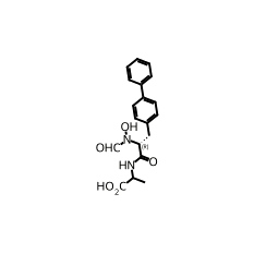 CC(NC(=O)[C@@H](Cc1ccc(-c2ccccc2)cc1)N(O)C=O)C(=O)O